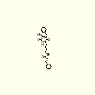 CC(C)(C)OC(=O)NC(CCCCNC(=O)OCc1ccccc1)C(=O)NCc1ccccc1